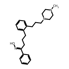 CN1CCN(CCCc2ccccc2CCCC(=NO)c2ccccc2)CC1